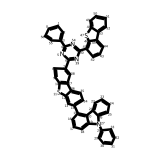 c1ccc(-c2nc(-c3ccc4sc5cc(-c6cccc7c6c6ccccc6n7-c6ccccc6)ccc5c4c3)nc(-c3cccc4c3sc3ccccc34)n2)cc1